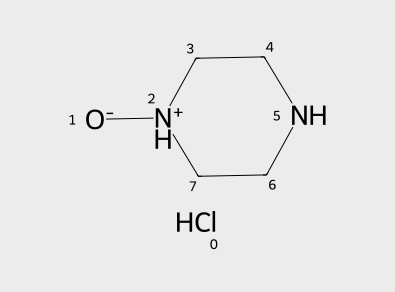 Cl.[O-][NH+]1CCNCC1